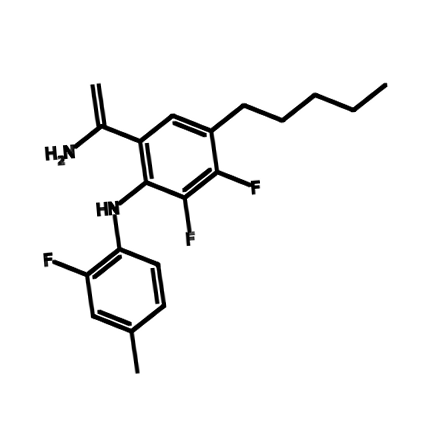 C=C(N)c1cc(CCCCC)c(F)c(F)c1Nc1ccc(C)cc1F